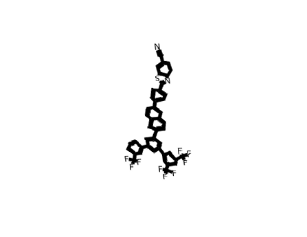 N#Cc1ccc2nc(-c3ccc(-c4ccc5cc(-c6cc(-c7cccc(C(F)(F)F)c7)cc(-c7cc(C(F)(F)F)cc(C(F)(F)F)c7)c6)ccc5c4)cc3)sc2c1